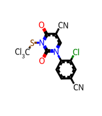 N#Cc1ccc(-n2cc(C#N)c(=O)n(SC(Cl)(Cl)Cl)c2=O)c(Cl)c1